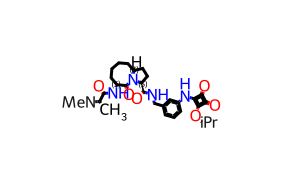 CNC(C)C(=O)N[C@H]1CCCC[C@H]2CC[C@@H](C(=O)NCc3cccc(Nc4c(OC(C)C)c(=O)c4=O)c3)N2C1=O